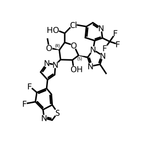 CO[C@H]1C(C(C)O)O[C@@H](c2nc(C)nn2-c2cc(Cl)cnc2C(F)(F)F)C(O)C1n1cc(-c2cc3scnc3c(F)c2F)cn1